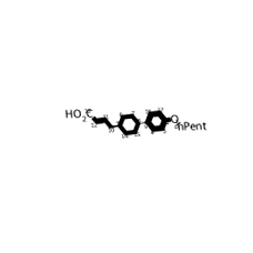 CCCCCOc1ccc([C@H]2CC[C@H](C/C=C/C(=O)O)CC2)cc1